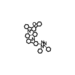 c1ccc(-c2nnc(-c3ccc4c5ccccc5n(-c5ccccc5-c5ccccc5-n5c6ccccc6c6c7oc8ccccc8c7ccc65)c4c3)n2-c2ccccc2)cc1